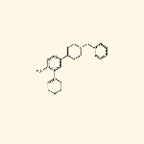 CC1CC=C(c2cc(C3CCN(Cc4ccccn4)CC3)ccc2N)CC1